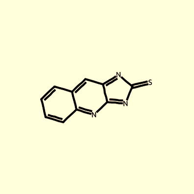 S=C1N=c2cc3ccccc3nc2=N1